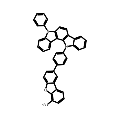 CCCCc1cccc2c1oc1ccc(-c3ccc(-n4c5ccccc5c5ccc6c(c7ccccc7n6-c6ccccc6)c54)cc3)cc12